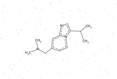 CC(C)c1cnc2cc(CN(C)C)ccn12